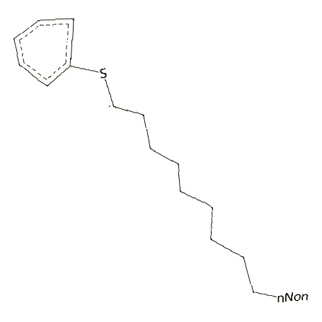 CCCCCCCCCCCCCCCCC[CH]Sc1ccccc1